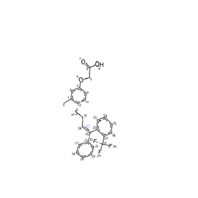 Cc1cc(OCC(=O)O)ccc1SC/C=C(/c1ccccc1)c1ccccc1C(F)(F)F